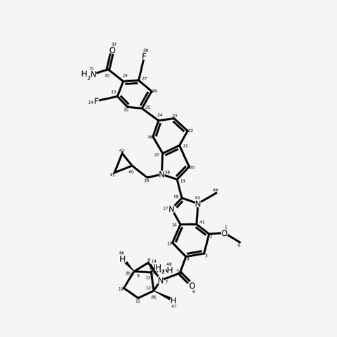 COc1cc(C(=O)N2C[C@H]3CC[C@@H]2[C@@H]3N)cc2nc(-c3cc4ccc(-c5cc(F)c(C(N)=O)c(F)c5)cc4n3CC3CC3)n(C)c12